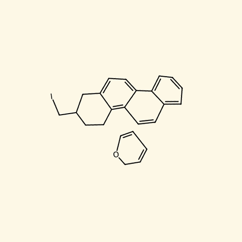 C1=CCOC=C1.ICC1CCc2c(ccc3c2ccc2ccccc23)C1